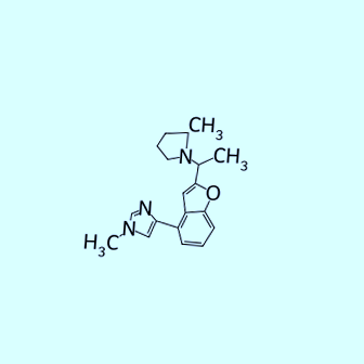 CC1CCCN1C(C)c1cc2c(-c3cn(C)cn3)cccc2o1